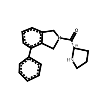 O=C([C@@H]1CCCN1)N1Cc2cccc(-c3ccccc3)c2C1